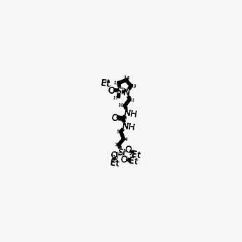 CCO[Si](CCCNC(=O)NCCN1CCC[Si]1(C)OCC)(OCC)OCC